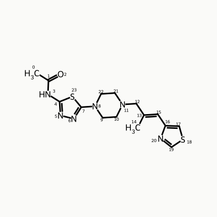 CC(=O)Nc1nnc(N2CCN(C/C(C)=C/c3cscn3)CC2)s1